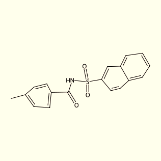 Cc1ccc(C(=O)NS(=O)(=O)c2ccc3ccccc3c2)cc1